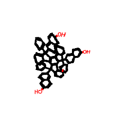 Oc1ccc2cc(C3(c4ccccc4)c4ccccc4-c4c3c3c(c5c4C(c4ccccc4)(c4ccc6cc(O)ccc6c4)c4ccccc4-5)C(c4ccccc4)(c4ccc5cc(O)ccc5c4)c4ccccc4-3)ccc2c1